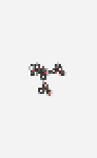 c1ccc(-n2c3ccccc3c3cc(-c4ccc5c(c4)c4cc(-c6ccc7c(c6)c6ccccc6n7-c6ccccc6)ccc4n5-c4nc5c6c(cccc6n4)Oc4ccccc4-5)ccc32)cc1